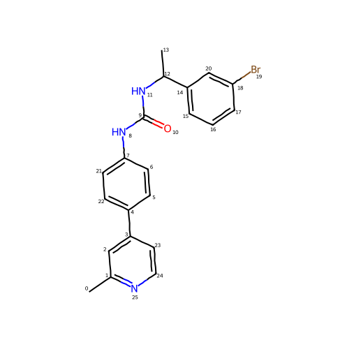 Cc1cc(-c2ccc(NC(=O)NC(C)c3cccc(Br)c3)cc2)ccn1